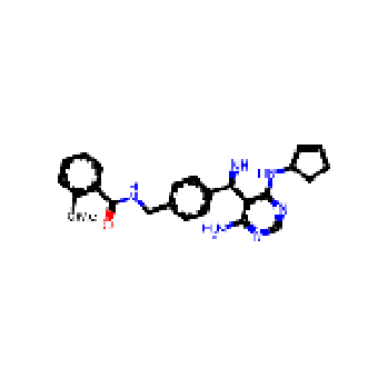 COc1ccccc1C(=O)NCc1ccc(C(=N)c2c(N)ncnc2NC2C=CCC2)cc1